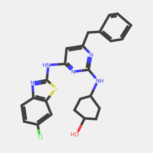 OC1CCC(Nc2nc(Cc3ccccc3)cc(Nc3nc4ccc(Cl)cc4s3)n2)CC1